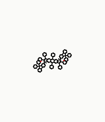 c1ccc(-c2c3cc4c(-c5ccccc5)c(-c5ccccc5)n(-c5ccc6c(c5)C(c5ccccc5)(c5ccccc5)c5ccccc5-6)c4cc3c(-c3ccccc3)c3cc4c(-c5ccccc5)c(-c5ccccc5)n(-c5ccc6c(c5)C(c5ccccc5)(c5ccccc5)c5ccccc5-6)c4cc23)cc1